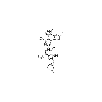 C[C@H]1CCCN(Cc2nc3c(C(F)(F)F)cn(-c4cc(-c5ccc(F)cc5-c5nncn5C)cc(C5CC5)n4)c(=O)c3[nH]2)C1